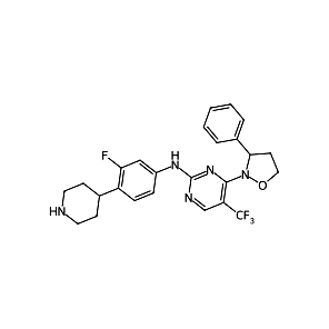 Fc1cc(Nc2ncc(C(F)(F)F)c(N3OCCC3c3ccccc3)n2)ccc1C1CCNCC1